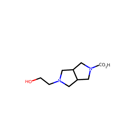 O=C(O)N1CC2CN(CCO)CC2C1